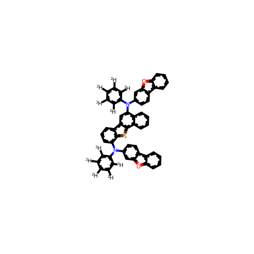 [2H]c1c([2H])c([2H])c(N(c2ccc3c(c2)oc2ccccc23)c2cc3c4cccc(N(c5ccc6c(c5)oc5ccccc56)c5c([2H])c([2H])c([2H])c([2H])c5[2H])c4sc3c3ccccc23)c([2H])c1[2H]